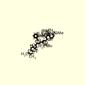 C=C(C)[C@H](C)C[C@H]1CC[C@@H]2OC(CCC(/C=C/[C@H](O[Si](C)(C)C(C)(C)C)[C@@H]3O[C@H]4CC[C@H](COC)O[C@@H]4[C@H](O[Si](C)(C)C(C)(C)C)[C@@H]3O[Si](C)(C)C(C)(C)C)OC(=O)c3ccccc3)C[C@]2(CI)O1